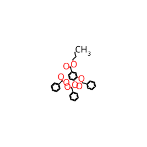 CCCCOC(=O)c1cc(OC(=O)c2ccccc2)c(OC(=O)c2ccccc2)c(OC(=O)c2ccccc2)c1